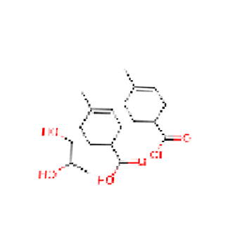 CC(O)CO.CC1=CCC(C(=O)O)CC1.CC1=CCC(C(=O)O)CC1